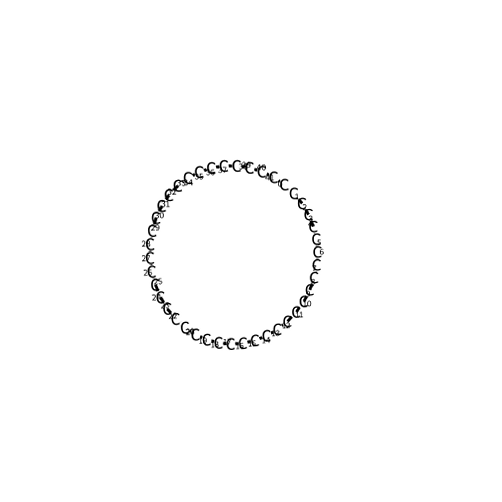 C1CCCCCCCCCCCCCCCCCCCCCCCCCCCCCCCCCCCCCCCCC1